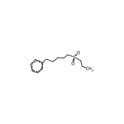 CCCS(=O)(=O)CCCCCc1ccccc1